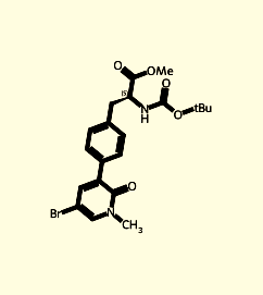 COC(=O)[C@H](Cc1ccc(-c2cc(Br)cn(C)c2=O)cc1)NC(=O)OC(C)(C)C